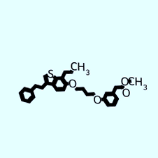 CCCc1c(OCCCCOc2cccc(CC(=O)OC)c2)ccc2c(CCc3ccccc3)csc12